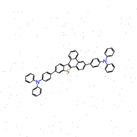 c1ccc(N(c2ccccc2)c2ccc(-c3ccc4c(c3)sc3c5ccc(-c6ccc(N(c7ccccc7)c7ccccc7)cc6)cc5c5ccccc5c43)cc2)cc1